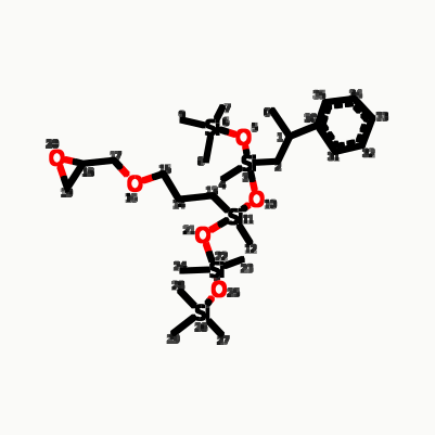 CC(C[Si](C)(O[Si](C)(C)C)O[Si](C)(CCCOCC1CO1)O[Si](C)(C)O[Si](C)(C)C)c1ccccc1